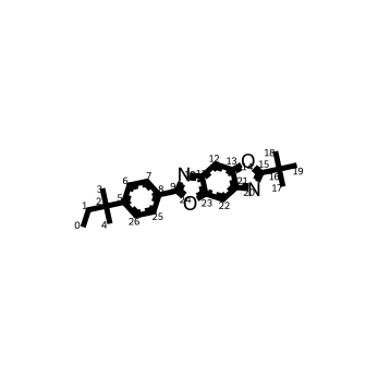 CCC(C)(C)c1ccc(-c2nc3cc4oc(C(C)(C)C)nc4cc3o2)cc1